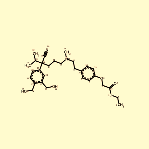 CCOC(=O)COc1ccc(CCN(C)CCCC(C#N)(c2ccc(CO)c(CO)c2)C(C)C)cc1